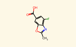 Cc1nc2c(F)cc(C(=O)O)cc2o1